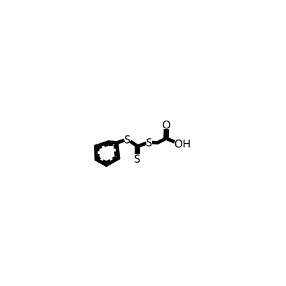 O=C(O)CSC(=S)Sc1ccccc1